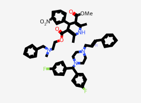 COC(=O)C1=C(C)NC(C)=C(C(=O)OCCN(C)Cc2ccccc2)C1c1cccc([N+](=O)[O-])c1.Fc1ccc(C(c2ccc(F)cc2)N2CCN(C/C=C/c3ccccc3)CC2)cc1